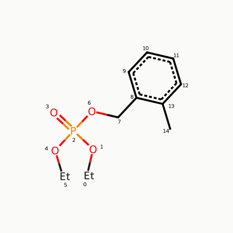 CCOP(=O)(OCC)OCc1ccccc1C